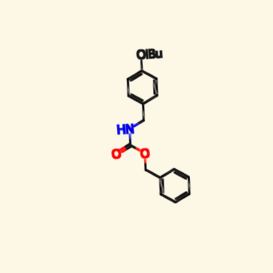 CC(C)COc1ccc(CNC(=O)OCc2ccccc2)cc1